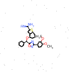 COc1ccc(-c2noc(C(Oc3cccc4sc(C(=N)N)cc34)c3ccccc3)n2)cc1OC